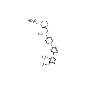 O=C(O)C[C@H]1CCCN(C[C@@H](O)c2ccc(-c3noc(-c4cnn(CC(F)(F)F)c4C(F)(F)F)n3)cc2)C1